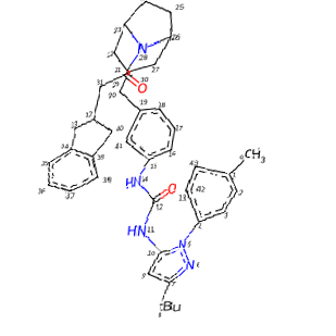 Cc1ccc(-n2nc(C(C)(C)C)cc2NC(=O)Nc2cccc(CC3CC4CCC(C3)N4C(=O)CC3Cc4ccccc4C3)c2)cc1